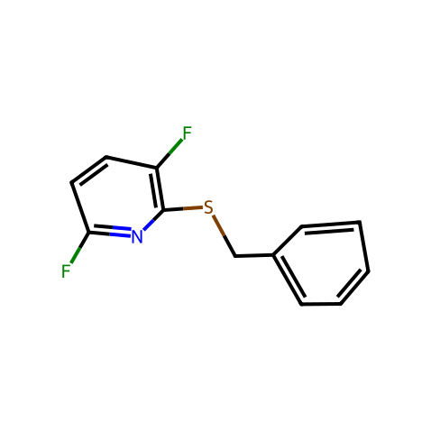 Fc1ccc(F)c(SCc2ccccc2)n1